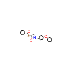 O=C(SC1CCN(Cc2ccc(Oc3ccccc3)cc2)C1=O)c1ccccc1